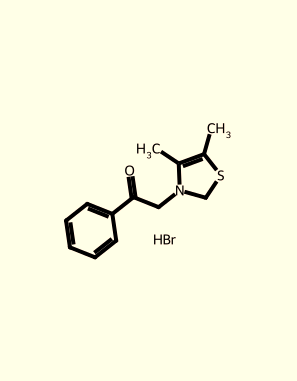 Br.CC1=C(C)N(CC(=O)c2ccccc2)CS1